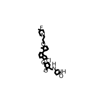 COc1cc(O[C@H]2CCc3c(-c4cccc(OCCCN5CCC(C)(F)CC5)c4C)cccc32)c(Cl)cc1CN[C@H]1CCC(=O)NC1